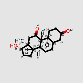 C[C@]12CC(=O)[C@H]3[C@@H](CCC4CC(=O)CC[C@@]43C)[C@@H]1CC[C@@H]2O